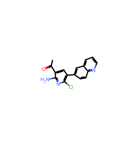 CC(=O)c1cc(-c2ccc3ncccc3c2)c(Cl)nc1N